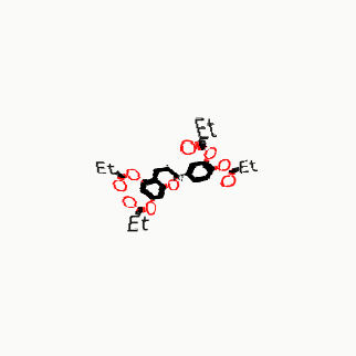 CCC(=O)Oc1cc(OC(=O)CC)c2c(c1)O[C@@H](c1ccc(OC(=O)CC)c(OC(=O)CC)c1)[CH]C2